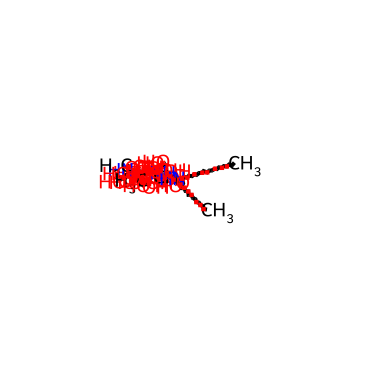 CCCCCCCCCCCCC/C=C/[C@@H](O)[C@H](CO[C@@H]1OC(CO)[C@@H](O[C@@H]2OC(CO)[C@H](O)[C@H](O[C@@H]3OC(CO)[C@@H](O[C@@H]4OC(CO)[C@H](O)[C@H](O[C@]5(C(=O)O)CC(O)[C@@H](NC(C)=O)C([C@H](O)[C@H](O)CO)O5)C4O)[C@H](O[C@H]4OC(C)[C@@H](O)C(O)[C@@H]4O)C3NC(C)=O)C2O)[C@H](O)C1O)NC(=O)CCCCCCCCCCCCCCCCCCCCC